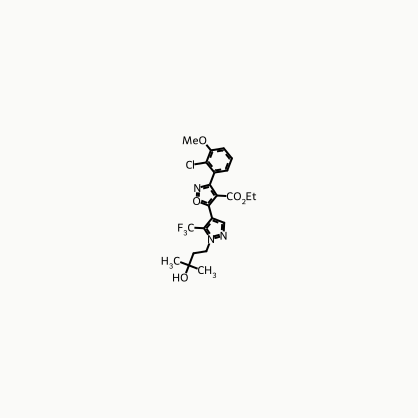 CCOC(=O)c1c(-c2cccc(OC)c2Cl)noc1-c1cnn(CCC(C)(C)O)c1C(F)(F)F